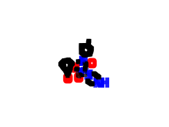 Cc1ccc(N(C)C(=O)C(N2CCNCC2)[N+](=O)[O-])cc1.O=c1c2ccccc12